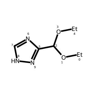 CCOC(OCC)c1nc[nH]n1